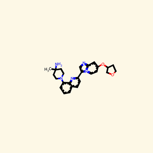 CC1(N)CCN(c2cccc3ccc(-c4cnc5cc(OC6CCOC6)ccn45)nc23)CC1